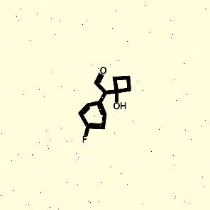 O=CC(c1ccc(F)cc1)C1(O)CCC1